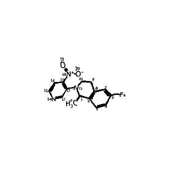 CC1c2ccc(F)cc2CCN1c1cnccc1[N+](=O)[O-]